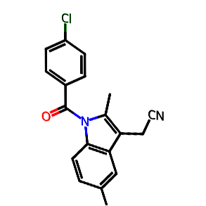 COc1ccc2c(c1)c(CC#N)c(C)n2C(=O)c1ccc(Cl)cc1